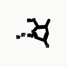 [Br-].[Cl-].[Li][c]1cnc(OC)c(C)c1.[Mg+2]